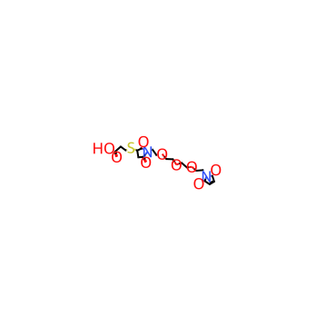 O=C(O)CCSC1CC(=O)N(CCOCCOCCOCCN2C(=O)C=CC2=O)C1=O